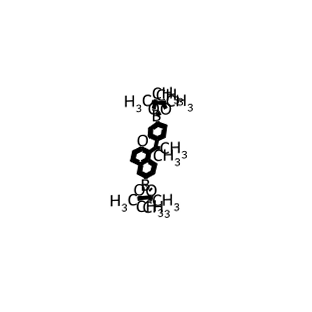 CC1(C)c2ccc(B3OC(C)(C)C(C)(C)O3)cc2Oc2ccc3cc(B4OC(C)(C)C(C)(C)O4)ccc3c21